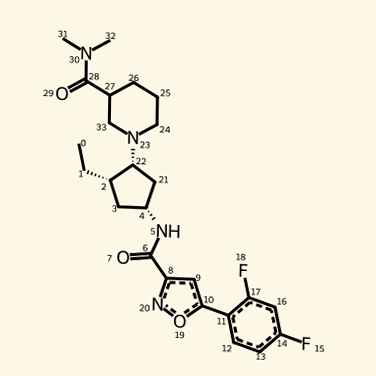 CC[C@H]1C[C@@H](NC(=O)c2cc(-c3ccc(F)cc3F)on2)C[C@H]1N1CCCC(C(=O)N(C)C)C1